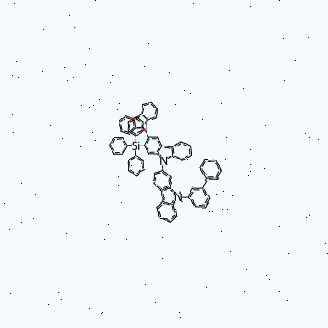 c1ccc(-c2cccc(-n3c4ccccc4c4ccc(-n5c6ccccc6c6cc(-n7c8ccccc8c8ccccc87)c([Si](c7ccccc7)(c7ccccc7)c7ccccc7)cc65)cc43)c2)cc1